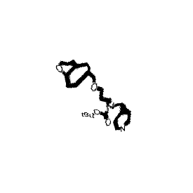 CC(C)(C)OC(=O)N(CCCOCc1ccc2occc2c1)Cc1ccncc1